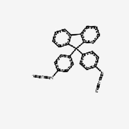 O=C=Nc1ccc(C2(c3ccc(N=C=O)cc3)c3ccccc3-c3ccccc32)cc1